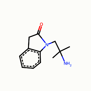 CC(C)(N)CN1C(=O)Cc2ccccc21